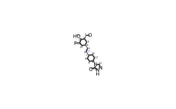 O=Cc1cc(/C=C/c2ccc(-n3cn[nH]c3=O)cc2)cc(F)c1O